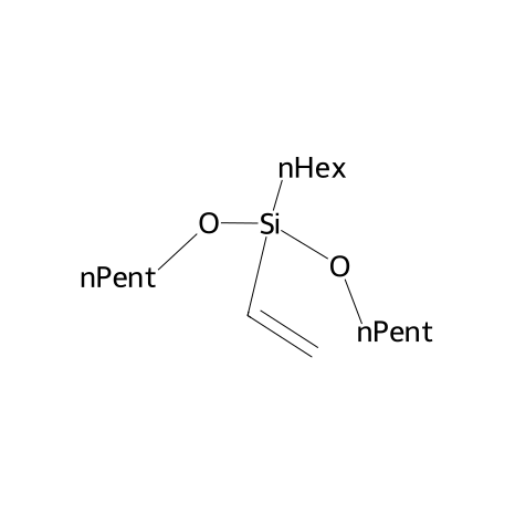 C=C[Si](CCCCCC)(OCCCCC)OCCCCC